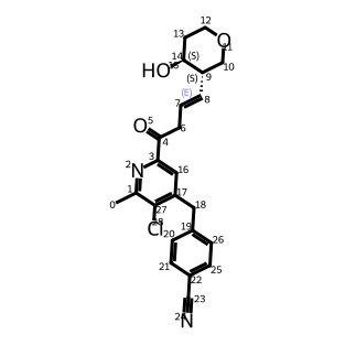 Cc1nc(C(=O)C/C=C/[C@H]2COCC[C@@H]2O)cc(Cc2ccc(C#N)cc2)c1Cl